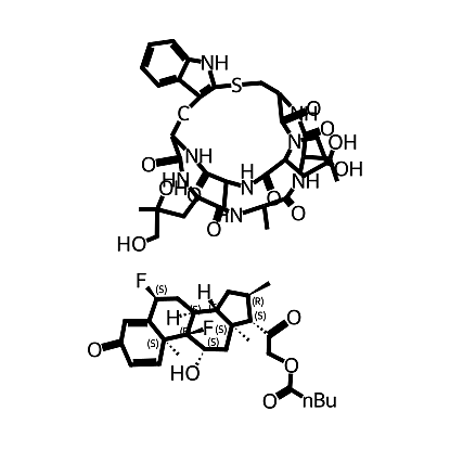 CC1NC(=O)C(CC(C)(O)CO)NC(=O)C2Cc3c([nH]c4ccccc34)SCC(NC(=O)C(C(C)O)NC1=O)C(=O)N1CC(O)CC1C(=O)NC(C)C(=O)N2.CCCCC(=O)OCC(=O)[C@H]1[C@H](C)C[C@H]2[C@@H]3C[C@H](F)C4=CC(=O)C=C[C@]4(C)[C@@]3(F)[C@@H](O)C[C@@]21C